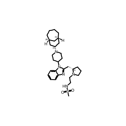 CS(=O)(=O)NCCN1CCC[C@H]1Cc1nc2ccccc2n1C1CCN([C@@H]2C[C@@H]3CCCC[C@@H](C3)C2)CC1